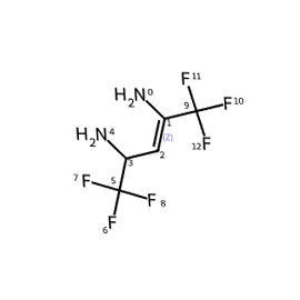 N/C(=C\C(N)C(F)(F)F)C(F)(F)F